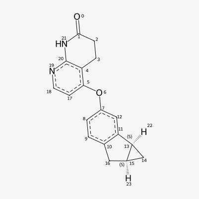 O=C1CCc2c(Oc3ccc4c(c3)[C@H]3C[C@H]3C4)ccnc2N1